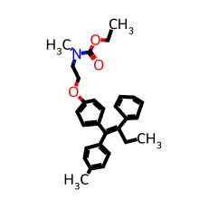 CCOC(=O)N(C)CCOc1ccc(C(=C(CC)c2ccccc2)c2ccc(C)cc2)cc1